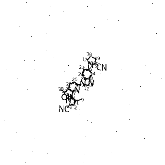 Cc1cc(C#N)nn1-c1nc(-n2cnc3cc(N4CCC[C@H]4C#N)ccc32)ccc1C(C)O